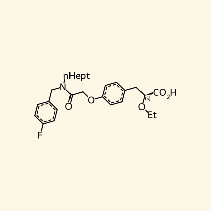 CCCCCCCN(Cc1ccc(F)cc1)C(=O)COc1ccc(C[C@H](OCC)C(=O)O)cc1